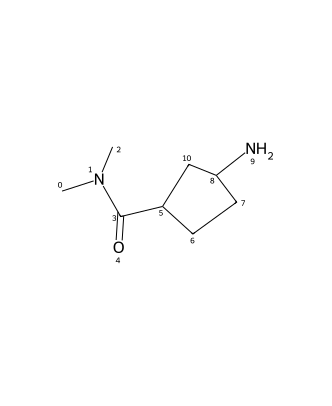 CN(C)C(=O)C1CCC(N)C1